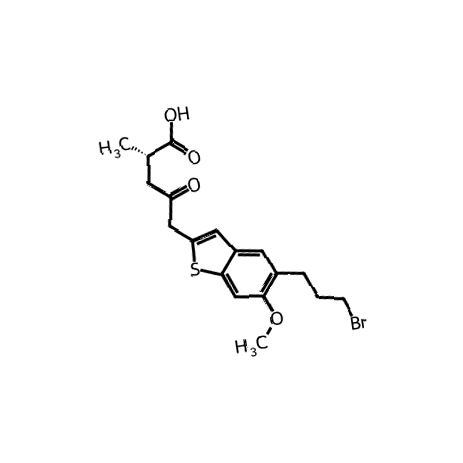 COc1cc2sc(CC(=O)C[C@H](C)C(=O)O)cc2cc1CCCBr